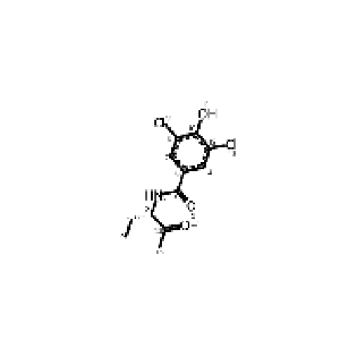 CC[C@H](NC(=O)c1cc(Cl)c(O)c(Cl)c1)C(C)=O